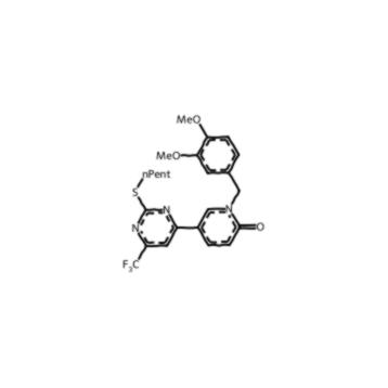 CCCCCSc1nc(-c2ccc(=O)n(Cc3ccc(OC)c(OC)c3)c2)cc(C(F)(F)F)n1